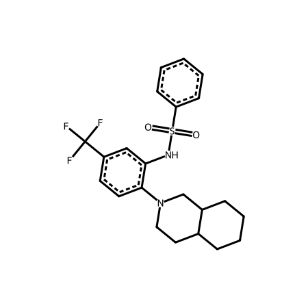 O=S(=O)(Nc1cc(C(F)(F)F)ccc1N1CCC2CCCCC2C1)c1ccccc1